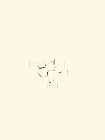 C=CC(O)c1c(OC)ccc(Br)c1C